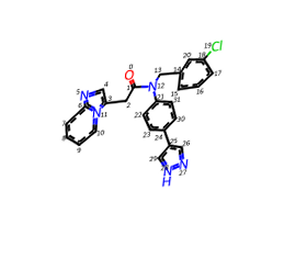 O=C(Cc1cnc2ccccn12)N(Cc1cccc(Cl)c1)c1ccc(-c2cn[nH]c2)cc1